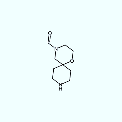 O=CN1CCOC2(CCNCC2)C1